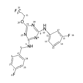 Fc1ccc(CNc2nc(Nc3cccc(F)c3)nc(OCC(F)(F)F)n2)cc1